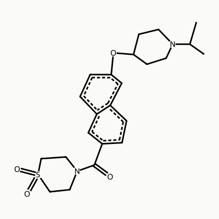 CC(C)N1CCC(Oc2ccc3cc(C(=O)N4CCS(=O)(=O)CC4)ccc3c2)CC1